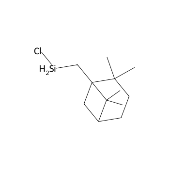 CC1(C)CCC2CC1(C[SiH2]Cl)C2(C)C